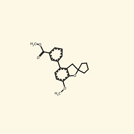 COC(=O)c1cccc(-c2ccc(OC)c3c2CC2(CCCC2)O3)c1